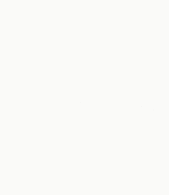 C=CCOC(=O)CC(O)CBr